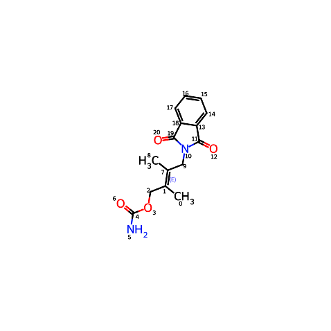 C/C(COC(N)=O)=C(/C)CN1C(=O)c2ccccc2C1=O